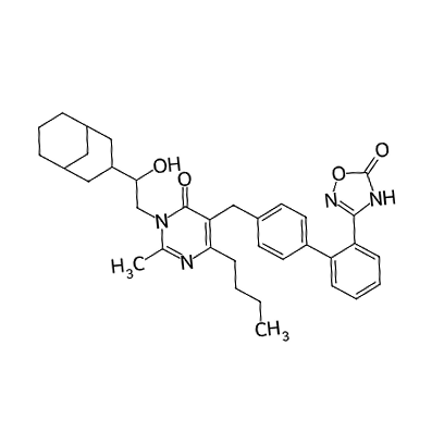 CCCCc1nc(C)n(CC(O)C2CC3CCCC(C3)C2)c(=O)c1Cc1ccc(-c2ccccc2-c2noc(=O)[nH]2)cc1